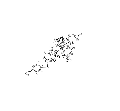 Cc1ccc(CC2CCN([C@H]3CC[C@@]4(O)[C@H]5C(C[C@@]46c4c(C)ccc(O)c4O[C@@H]36)N5CC3CC3)C2=O)cc1